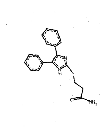 NC(=O)CCSc1nc(-c2ccccc2)c(-c2ccccc2)[nH]1